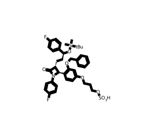 CC(C)(C)[Si](C)(C)O[C@@H](CC[C@H]1C(=O)N(c2ccc(F)cc2)[C@@H]1c1ccc(OCCCOS(=O)(=O)O)cc1OCc1ccccc1)c1ccc(F)cc1